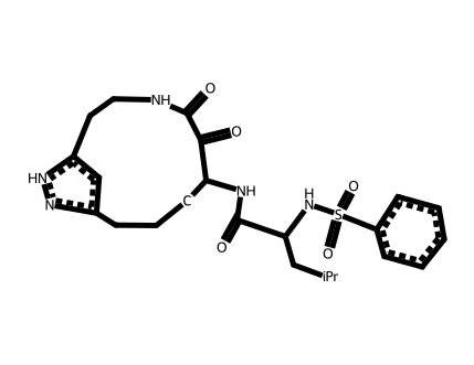 CC(C)CC(NS(=O)(=O)c1ccccc1)C(=O)NC1CCCc2cc([nH]n2)CCNC(=O)C1=O